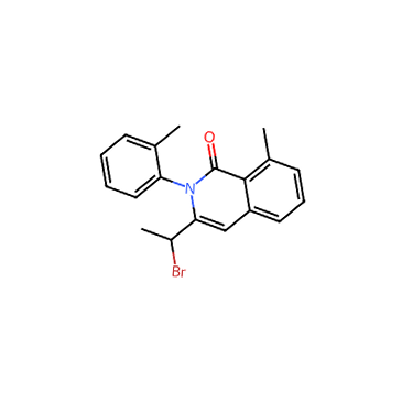 Cc1ccccc1-n1c(C(C)Br)cc2cccc(C)c2c1=O